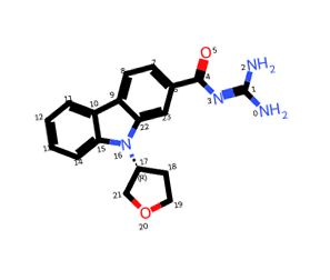 NC(N)=NC(=O)c1ccc2c3ccccc3n([C@@H]3CCOC3)c2c1